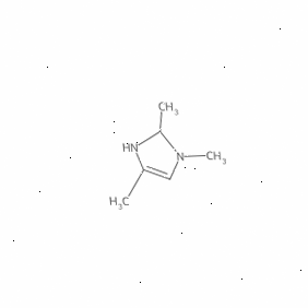 CC1=CN(C)C(C)N1